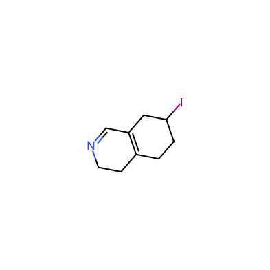 IC1CCC2=C(C=NCC2)C1